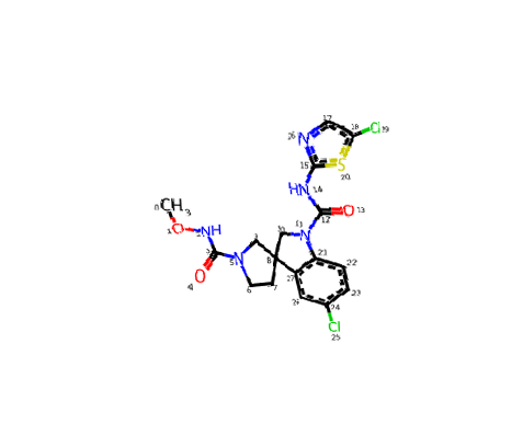 CONC(=O)N1CCC2(C1)CN(C(=O)Nc1ncc(Cl)s1)c1ccc(Cl)cc12